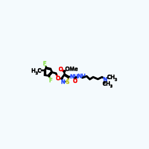 COC(=O)c1c(OCc2cc(F)c(C)cc2F)nsc1NC(=O)NCCCCCCN(C)C